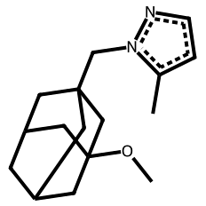 COC12CC3CC(CC(Cn4nccc4C)(C3)C1)C2